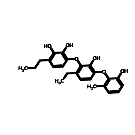 CCCc1ccc(Oc2c(CC)ccc(Oc3c(C)cccc3O)c2O)c(O)c1O